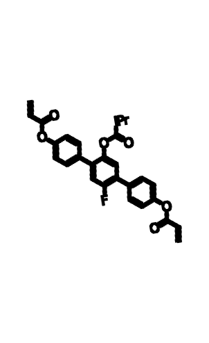 C=CC(=O)Oc1ccc(-c2cc(OC(=O)C(C)C)c(-c3ccc(OC(=O)C=C)cc3)cc2F)cc1